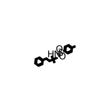 Cc1ccc(S(=O)(=O)NCC(C)(C)CCc2ccccc2)cc1